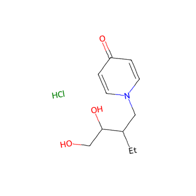 CCC(Cn1ccc(=O)cc1)C(O)CO.Cl